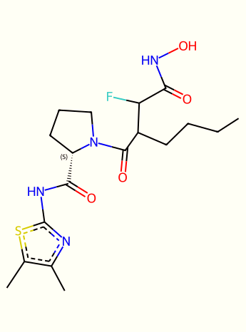 CCCCC(C(=O)N1CCC[C@H]1C(=O)Nc1nc(C)c(C)s1)C(F)C(=O)NO